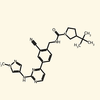 Cn1cc(Nc2nccc(-c3ccc(CNC(=O)N4CCC(C(C)(C)C)C4)c(C#N)c3)n2)cn1